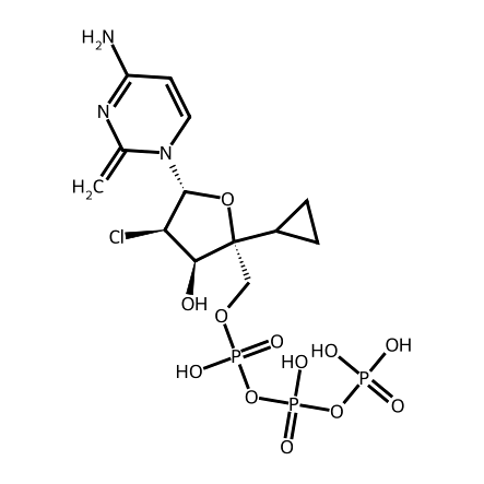 C=C1N=C(N)C=CN1[C@@H]1O[C@@](COP(=O)(O)OP(=O)(O)OP(=O)(O)O)(C2CC2)[C@@H](O)[C@H]1Cl